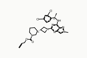 C=CCOC(=O)N1CCC[C@H](C2CN(c3nc(N[C@H](C)c4ccc(Cl)cc4Cl)c4nn(C)cc4n3)C2)C1